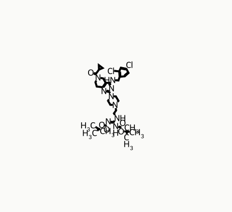 CC(C)(C)OC(=O)N=C(NCCN1CCN(c2nc3c(c(NCc4ccc(Cl)cc4Cl)n2)CN(C(=O)C2CC2)CC3)CC1)NC(=O)OC(C)(C)C